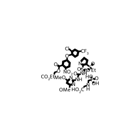 CCOC(=O)COC(=O)c1cc(Oc2ccc(C(F)(F)F)cc2Cl)ccc1[N+](=O)[O-].CCS(=O)(=O)c1cccnc1S(=O)(=O)NC(=O)Nc1nc(OC)cc(OC)n1.O=C(O)CNCP(=O)(O)O